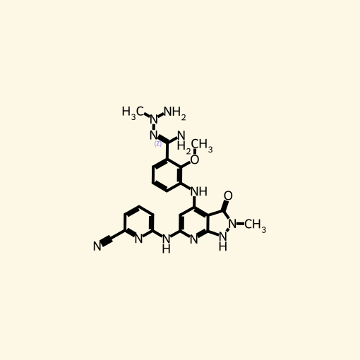 COc1c(Nc2cc(Nc3cccc(C#N)n3)nc3[nH]n(C)c(=O)c23)cccc1/C(N)=N/N(C)N